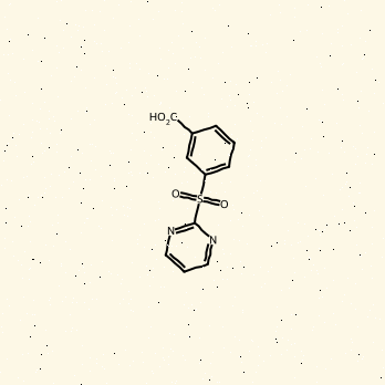 O=C(O)c1cccc(S(=O)(=O)c2ncccn2)c1